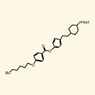 CCCCCCCC1CCC(CCc2ccc(OC(=O)c3ccc(OCCCCCC(C)CC)cc3)cc2)CC1